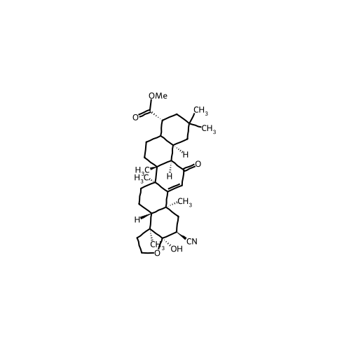 COC(=O)[C@@H]1CC(C)(C)C[C@@H]2C1CC[C@]1(C)[C@@H]2C(=O)C=C2[C@@]3(C)C[C@@H](C#N)[C@@]4(O)OCC[C@@]4(C)[C@@H]3CC[C@]21C